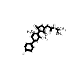 Cc1cc(-c2ccc(F)cc2)cc(C)c1C1C(=O)CC(CC(=O)NC(C)C)C1=O